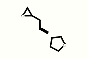 C1CCOC1.C=CCC1CO1